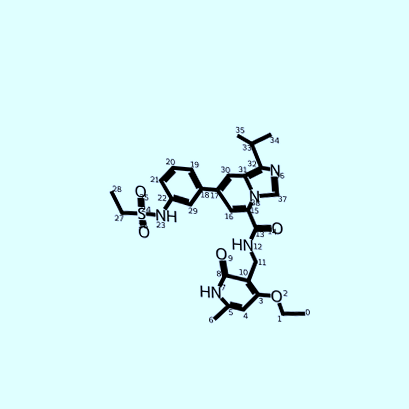 CCOc1cc(C)[nH]c(=O)c1CNC(=O)c1cc(-c2cccc(NS(=O)(=O)CC)c2)cc2c(C(C)C)ncn12